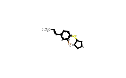 CCOC(=O)C=Cc1ccc(SC2CCCC2)c(Br)c1